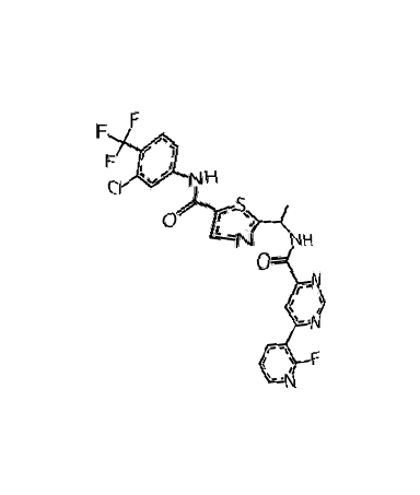 CC(NC(=O)c1cc(-c2cccnc2F)ncn1)c1ncc(C(=O)Nc2ccc(C(F)(F)F)c(Cl)c2)s1